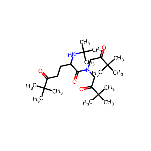 CC(C)(C)NC(CCC(=O)C(C)(C)C)C(=O)N(CC(=O)C(C)(C)C)CC(=O)C(C)(C)C